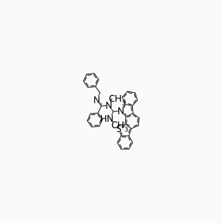 CNC(N(C)/C(=N\Cc1ccccc1)c1ccccc1)n1c2ccccc2c2ccc3c4ccccc4sc3c21